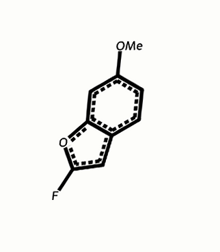 COc1ccc2cc(F)oc2c1